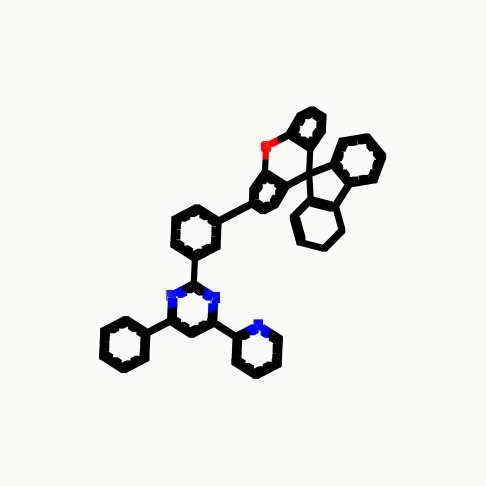 C1=CC2=C(CC1)c1ccccc1C21c2ccccc2Oc2cc(-c3cccc(-c4nc(-c5ccccc5)cc(-c5ccccn5)n4)c3)ccc21